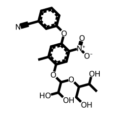 Cc1cc(Oc2cccc(C#N)c2)c([N+](=O)[O-])cc1OC(OC(CO)C(C)O)C(O)O